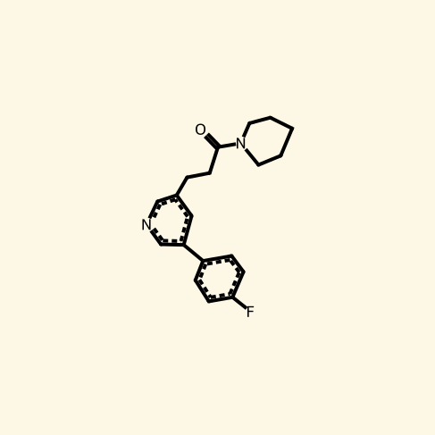 O=C(CCc1cncc(-c2ccc(F)cc2)c1)N1CCCCC1